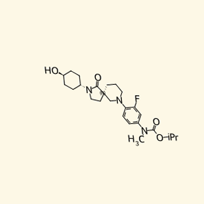 CC(C)OC(=O)N(C)c1ccc(N2CCC[C@@]3(CCN([C@H]4CC[C@H](O)CC4)C3=O)C2)c(F)c1